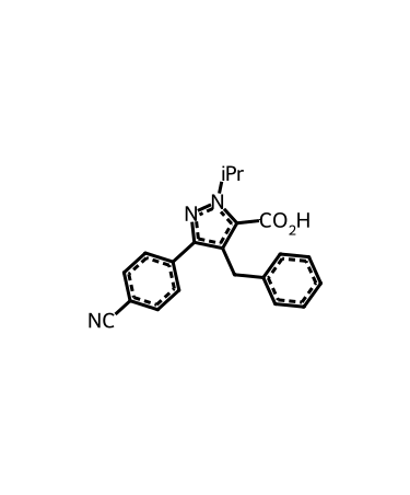 CC(C)n1nc(-c2ccc(C#N)cc2)c(Cc2ccccc2)c1C(=O)O